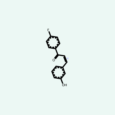 O=C(/C=C\c1cccc(O)c1)c1ccc(F)cc1